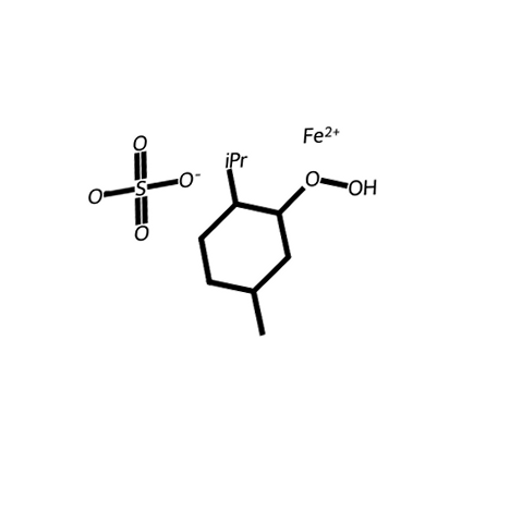 CC1CCC(C(C)C)C(OO)C1.O=S(=O)([O-])[O-].[Fe+2]